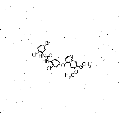 COc1cc2nccc(Oc3ccc(NC(=O)Nc4cc(Br)ccc4Cl)c(Cl)c3)c2cc1OC